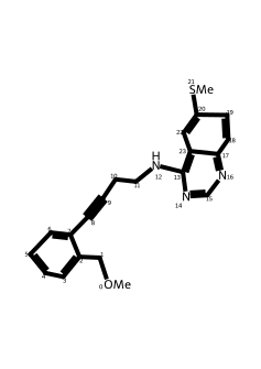 COCc1ccccc1C#CCCNc1ncnc2ccc(SC)cc12